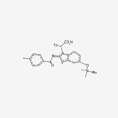 CCC(C(=O)O)n1/c(=N/C(=O)c2ccc(C)cc2)sc2cc(O[Si](C)(C)C(C)(C)C)ccc21